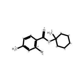 Cc1ccc(C(=O)OC2(C)CCCCC2)c(Br)c1